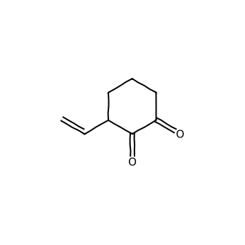 C=CC1CCCC(=O)C1=O